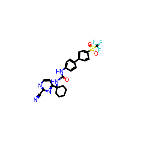 N#Cc1nccc(C2(NC(=O)Nc3ccc(-c4ccc(S(=O)(=O)C(F)(F)F)cc4)cc3)CCCCC2)n1